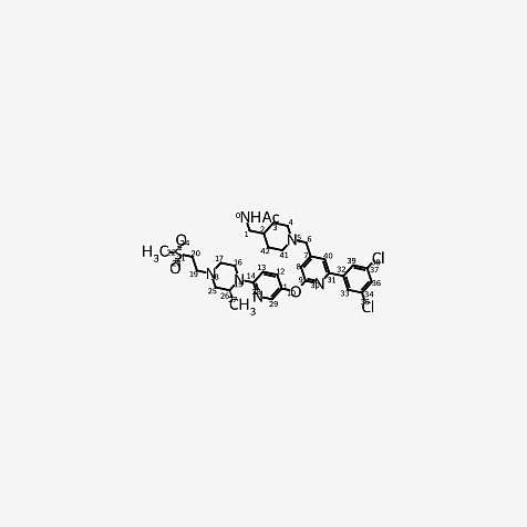 CC(=O)NCC1CCN(Cc2cc(Oc3ccc(N4CCN(CCS(C)(=O)=O)C[C@@H]4C)nc3)nc(-c3cc(Cl)cc(Cl)c3)c2)CC1